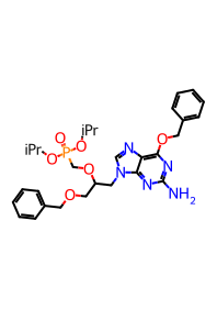 CC(C)OP(=O)(COC(COCc1ccccc1)Cn1cnc2c(OCc3ccccc3)nc(N)nc21)OC(C)C